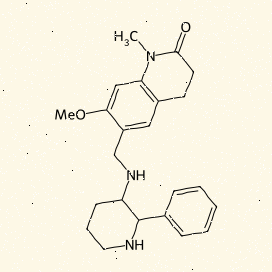 COc1cc2c(cc1CNC1CCCNC1c1ccccc1)CCC(=O)N2C